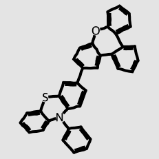 c1ccc(N2c3ccccc3Sc3cc(-c4ccc5c(c4)-c4ccccc4-c4ccccc4O5)ccc32)cc1